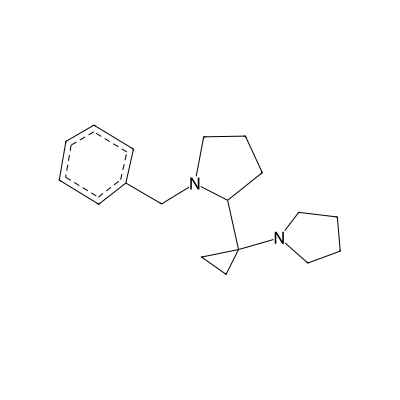 c1ccc(CN2CCCC2C2(N3CCCC3)CC2)cc1